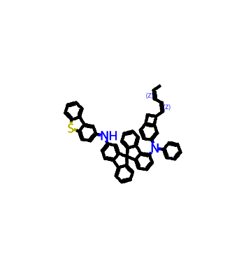 C/C=C\C=C/C1Cc2ccc(N(c3ccccc3)c3cccc4c3-c3ccccc3C43c4ccccc4-c4ccc(Nc5ccc6sc7ccccc7c6c5)cc43)cc21